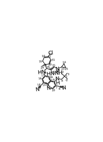 CC(C)(C)CNc1c(C#N)cnc2c(C#N)cc(N[C@H](C3=CN(C4CC4)NN3)C3(C)C=CC(Cl)=CC3)cc12